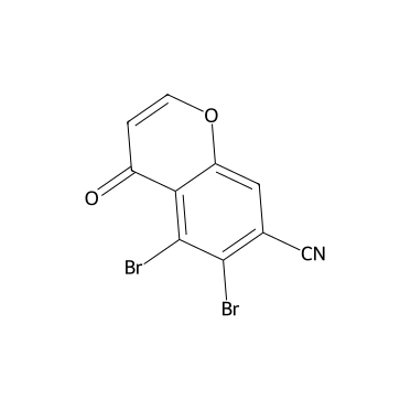 N#Cc1cc2occc(=O)c2c(Br)c1Br